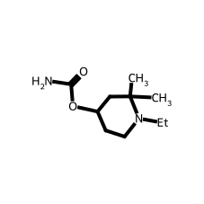 CCN1CCC(OC(N)=O)CC1(C)C